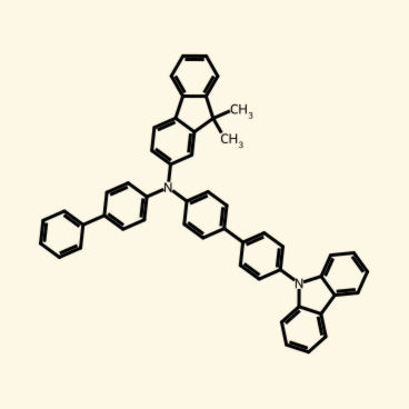 CC1(C)c2ccccc2-c2ccc(N(c3ccc(-c4ccccc4)cc3)c3ccc(-c4ccc(-n5c6ccccc6c6ccccc65)cc4)cc3)cc21